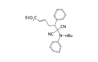 CCCCN(c1ccccc1)C(C#N)(C#N)C(C/C=C/C(=O)OCC)c1ccccc1